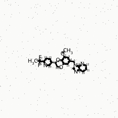 COc1cc(Cn2cnc3cccnc32)cc2c1O[C@H](c1ccc(C(C)(F)F)nc1)CO2